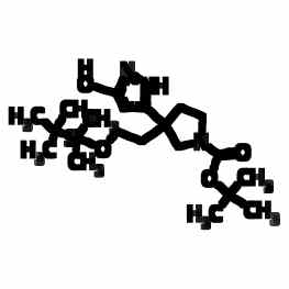 CC(C)(C)OC(=O)N1CCC(CCO[Si](C)(C)C(C)(C)C)(c2cc(O)n[nH]2)C1